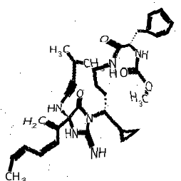 C=C(/C=C\C=C/C)[C@@]1(NC#CC(C)C)NC(=N)N([C@H](CCCNC(=O)[C@H](Cc2ccccc2)NC(=O)OC)C2CC2)C1=O